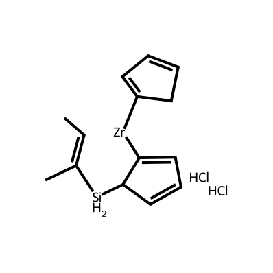 CC=C(C)[SiH2]C1C=CC=[C]1[Zr][C]1=CC=CC1.Cl.Cl